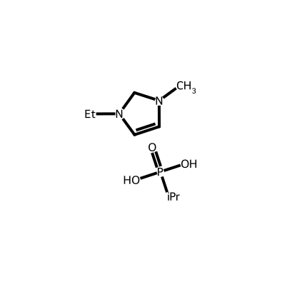 CC(C)P(=O)(O)O.CCN1C=CN(C)C1